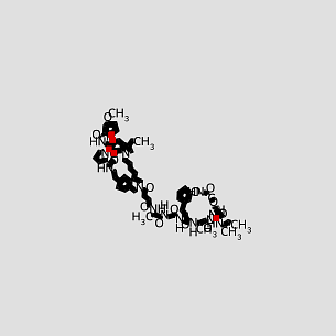 CCc1cn(CCCCCCN(Cc2ccc(CCNC(=O)[C@@H]3CCCN3C(=O)[C@H](Cc3ccc(OC)cc3)NC=O)cc2)C(=O)CCC(=O)N[C@@H](C)C(=O)NCC(=O)N[C@H]2Cc3cccc(c3)CNC(=O)CO[C@H]3CCN(C(=O)C(C)NC2=O)N3C(=O)NC(C)CC)c2ccc(F)cc12